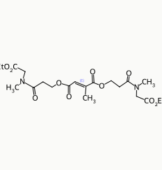 CCOC(=O)CN(C)C(=O)CCOC(=O)/C=C(\C)C(=O)OCCC(=O)N(C)CC(=O)OCC